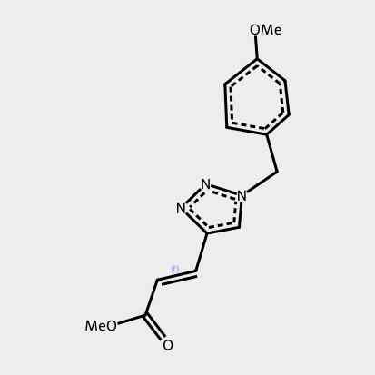 COC(=O)/C=C/c1cn(Cc2ccc(OC)cc2)nn1